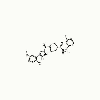 COc1cc(-c2cc(C(=O)N3CCC(C(=O)N[C@@H](C)c4cccc(F)c4)CC3)n[nH]2)c(Cl)cn1